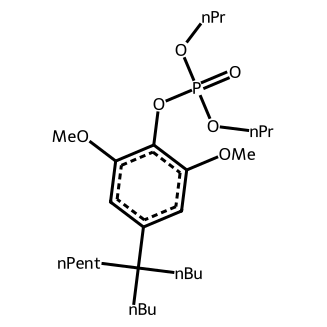 CCCCCC(CCCC)(CCCC)c1cc(OC)c(OP(=O)(OCCC)OCCC)c(OC)c1